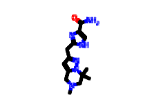 CN1Cc2cc(Cc3nc(C(N)=O)c[nH]3)nn2C(C)(C)C1